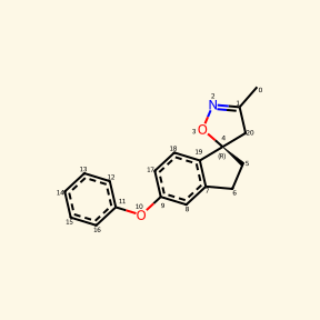 CC1=NO[C@]2(CCc3cc(Oc4ccccc4)ccc32)C1